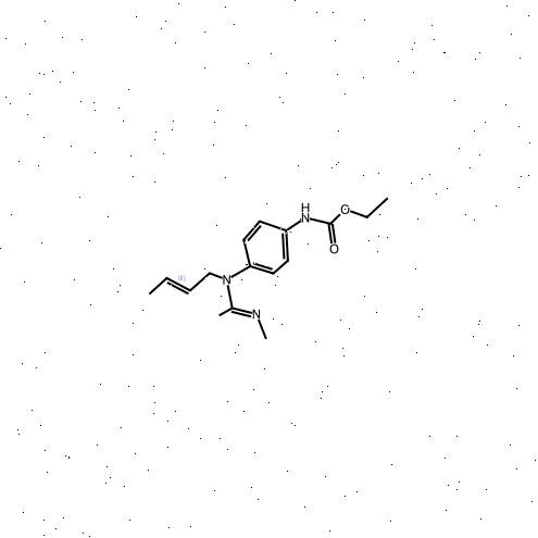 C/C=C/CN(C(C)=NC)c1ccc(NC(=O)OCC)cc1